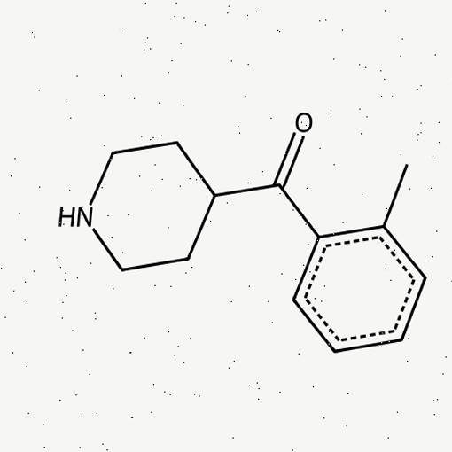 Cc1ccccc1C(=O)C1CCNCC1